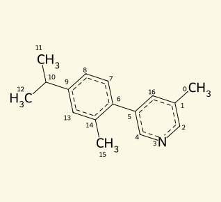 Cc1cncc(-c2ccc(C(C)C)cc2C)c1